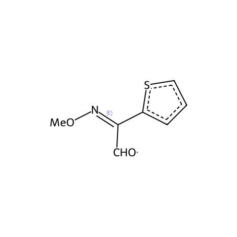 CO/N=C(\[C]=O)c1cccs1